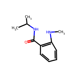 CNc1ccc[c]c1C(=O)NC(C)C